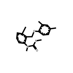 CSC(=O)N(C)c1cccc(C)c1COc1ccc(C)cc1C